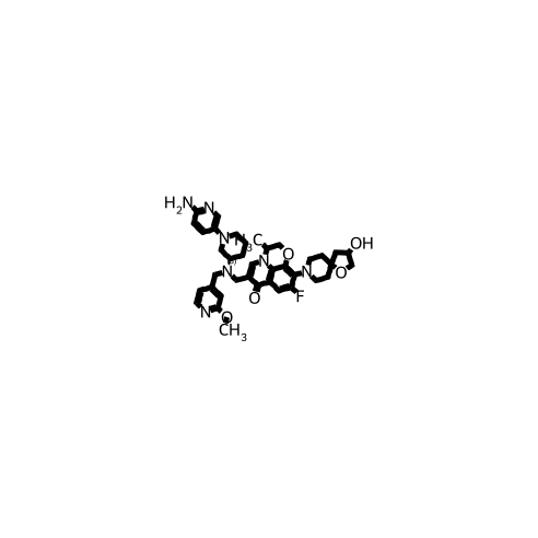 COc1cc(CN(Cc2cn3c4c(c(N5CCC6(CC5)CC(O)CO6)c(F)cc4c2=O)OCC3C)[C@H]2CCCN(c3ccc(N)nc3)C2)ccn1